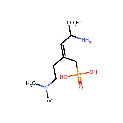 CCOC(=O)C(N)C=C(CCN(C)C(C)=O)CP(=O)(O)O